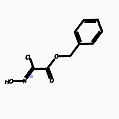 O=C(OCc1ccccc1)/C(Cl)=N/O